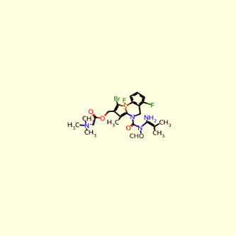 CC(C)=C(N)N(C=O)C(=O)N1Cc2c(F)cccc2S2(F)C(Br)=C(COC(=O)C[N+](C)(C)C)C(C)=C12